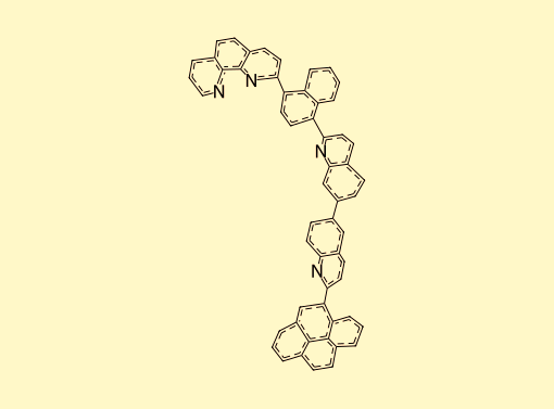 c1cnc2c(c1)ccc1ccc(-c3ccc(-c4ccc5ccc(-c6ccc7nc(-c8cc9cccc%10ccc%11cccc8c%11c%109)ccc7c6)cc5n4)c4ccccc34)nc12